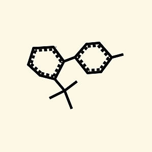 Cc1ccc(-c2[c]cccc2C(C)(C)C)cc1